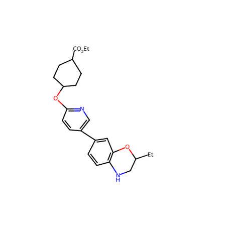 CCOC(=O)C1CCC(Oc2ccc(-c3ccc4c(c3)OC(CC)CN4)cn2)CC1